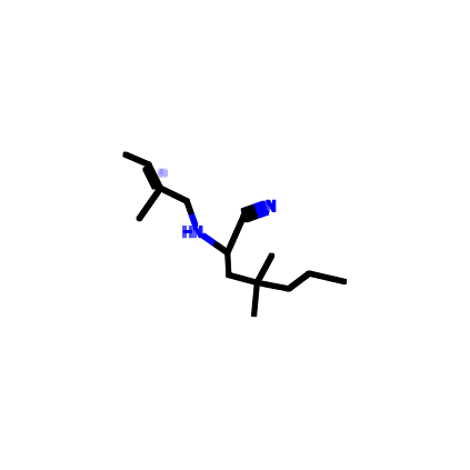 C/C=C(\C)CNC(C#N)CC(C)(C)CCC